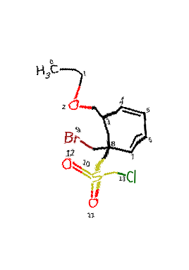 CCOC1C=CC=CC1(Br)S(=O)(=O)Cl